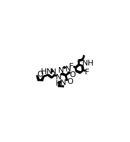 Cc1cc2c(F)c(Oc3ncnc(Nc4cc(-c5ccco5)[nH]n4)c3C(=O)N3CCC3)cc(F)c2[nH]1